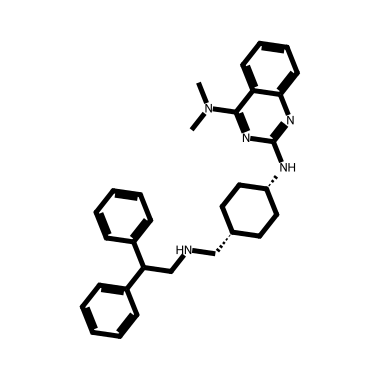 CN(C)c1nc(N[C@H]2CC[C@@H](CNCC(c3ccccc3)c3ccccc3)CC2)nc2ccccc12